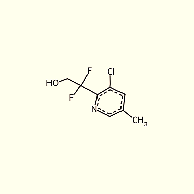 Cc1cnc(C(F)(F)CO)c(Cl)c1